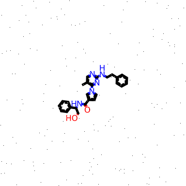 Cc1cnc(NCCc2ccccc2)nc1-n1ccc(C(=O)NC(CO)c2ccccc2)c1